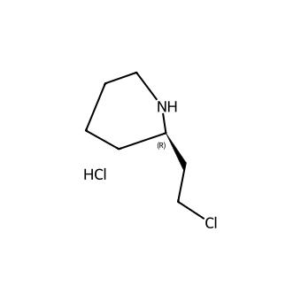 Cl.ClCC[C@H]1CCCCN1